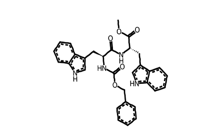 COC(=O)[C@H](Cc1c[nH]c2ccccc12)NC(=O)[C@H](Cc1c[nH]c2ccccc12)NC(=O)OCc1ccccc1